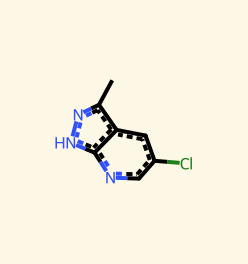 Cc1n[nH]c2ncc(Cl)cc12